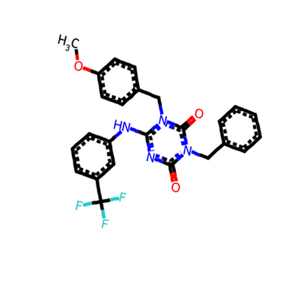 COc1ccc(Cn2c(Nc3cccc(C(F)(F)F)c3)nc(=O)n(Cc3ccccc3)c2=O)cc1